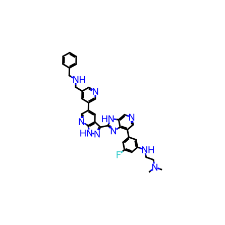 CN(C)CCNc1cc(F)cc(-c2cncc3[nH]c(-c4n[nH]c5ncc(-c6cncc(CNCc7ccccc7)c6)cc45)nc23)c1